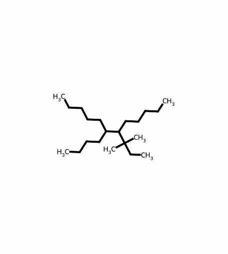 CCCCC[C](C(CCCC)CCCCC)C(C)(C)CC